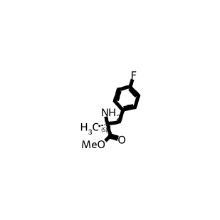 COC(=O)[C@@](C)(N)Cc1ccc(F)cc1